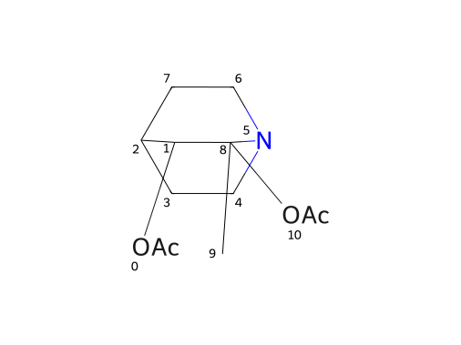 CC(=O)OC1C2CCN(CC2)C1(C)OC(C)=O